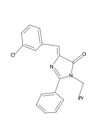 CC(C)CN1C(=O)C(=Cc2cccc(Cl)c2)N=C1c1ccccc1